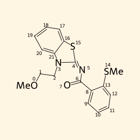 COCCn1c(=NC(=O)c2ccccc2SC)sc2ccccc21